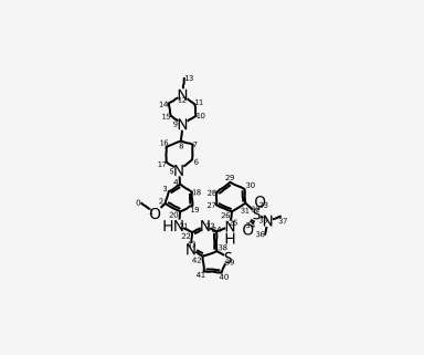 COc1cc(N2CCC(N3CCN(C)CC3)CC2)ccc1Nc1nc(Nc2ccccc2S(=O)(=O)N(C)C)c2sccc2n1